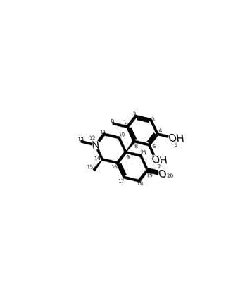 Cc1ccc(O)c(O)c1[C@]12CCN(C)[C@H](C)C1=CCC(=O)C2